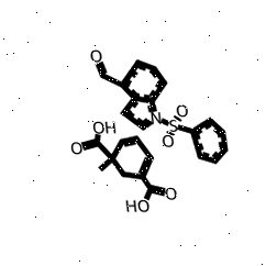 CC1(C(=O)O)C=CC=C(C(=O)O)C1.O=Cc1cccc2c1ccn2S(=O)(=O)c1ccccc1